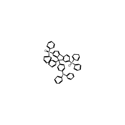 O=P(C1=CCCC=C1)(c1ccccc1)c1ccc2c(c1)C(c1ccccc1)(c1ccc(N(c3ccccc3)c3ccccc3)cc1)c1cc(P(=O)(c3ccccc3)c3ccccc3)ccc1-2